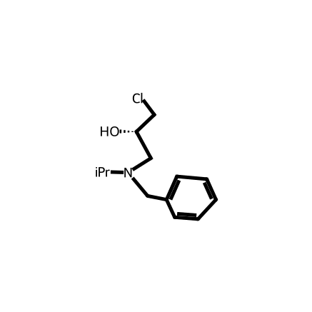 CC(C)N(Cc1ccccc1)C[C@H](O)CCl